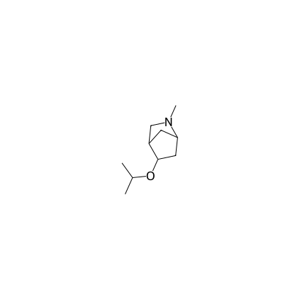 CC(C)OC1CC2CC1CN2C